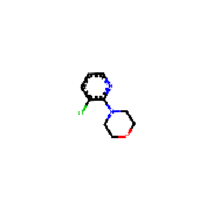 Clc1[c]ccnc1N1CCOCC1